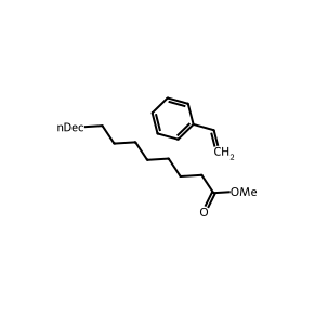 C=Cc1ccccc1.CCCCCCCCCCCCCCCCCC(=O)OC